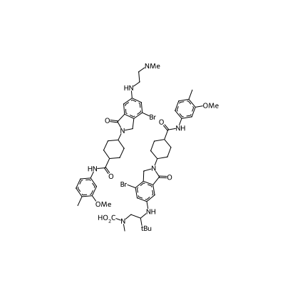 CNCCNc1cc(Br)c2c(c1)C(=O)N(C1CCC(C(=O)Nc3ccc(C)c(OC)c3)CC1)C2.COc1cc(NC(=O)C2CCC(N3Cc4c(Br)cc(NC(CN(C)C(=O)O)C(C)(C)C)cc4C3=O)CC2)ccc1C